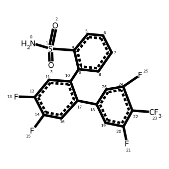 NS(=O)(=O)c1ccccc1-c1cc(F)c(F)cc1-c1cc(F)c(C(F)(F)F)c(F)c1